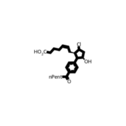 CCCCCC(=O)c1ccc(C2[C@@H](C/C=C\CCCC(=O)O)C(Cl)C[C@H]2O)cc1